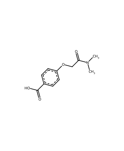 CN(C)C(=O)COc1ccc(C(=O)O)cc1